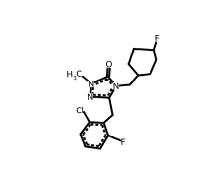 Cn1nc(Cc2c(F)cccc2Cl)n(CC2CCC(F)CC2)c1=O